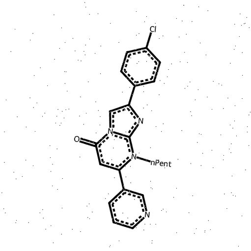 CCCCCn1c(-c2cccnc2)cc(=O)n2cc(-c3ccc(Cl)cc3)nc12